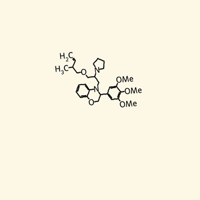 C=CC(C)COCC(CN1c2ccccc2OCC1c1cc(OC)c(OC)c(OC)c1)N1CCCC1